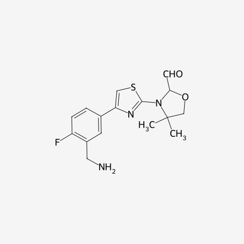 CC1(C)COC(C=O)N1c1nc(-c2ccc(F)c(CN)c2)cs1